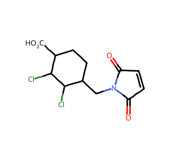 O=C(O)C1CCC(CN2C(=O)C=CC2=O)C(Cl)C1Cl